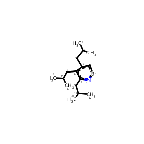 CC(C)Cc1cbnc(CC(C)C)c1CC(C)C